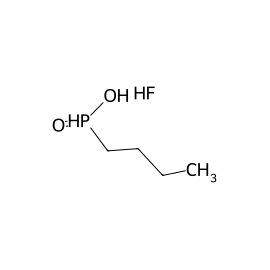 CCCC[PH](=O)O.F